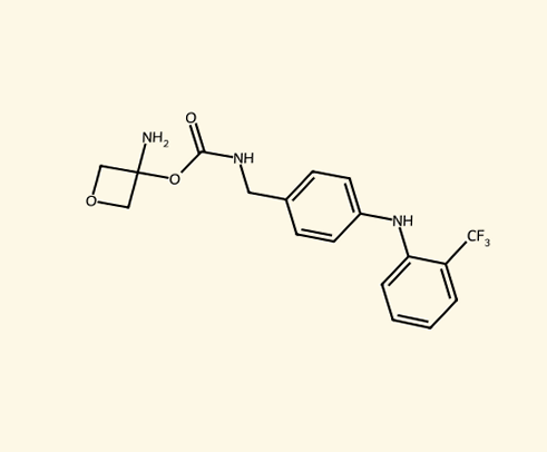 NC1(OC(=O)NCc2ccc(Nc3ccccc3C(F)(F)F)cc2)COC1